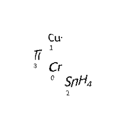 [Cr].[Cu].[SnH4].[Ti]